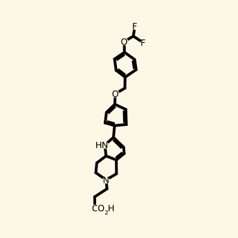 O=C(O)CCN1CCC2NC(c3ccc(OCc4ccc(OC(F)F)cc4)cc3)=CC=C2C1